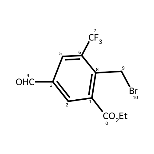 CCOC(=O)c1cc(C=O)cc(C(F)(F)F)c1CBr